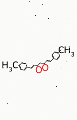 Cc1ccc(/C=C/C(=O)CC(=O)/C=C/c2ccc(C)cc2)cc1